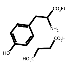 CCOC(=O)C(N)Cc1ccc(O)cc1.O=C(O)CCC(=O)O